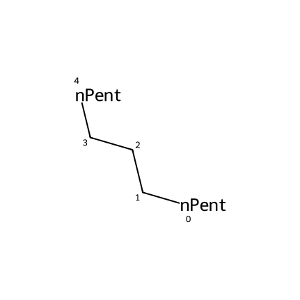 [CH2]CC[CH]CCCCCCCC[CH2]